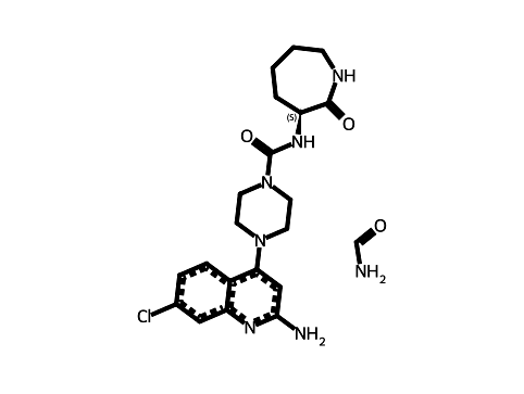 NC=O.Nc1cc(N2CCN(C(=O)N[C@H]3CCCCNC3=O)CC2)c2ccc(Cl)cc2n1